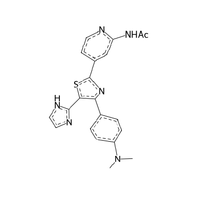 CC(=O)Nc1cc(-c2nc(-c3ccc(N(C)C)cc3)c(-c3ncc[nH]3)s2)ccn1